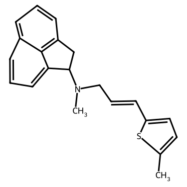 Cc1ccc(/C=C/CN(C)C2Cc3cccc4cccc2c34)s1